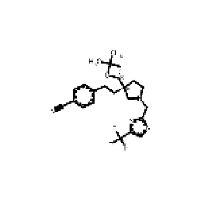 CC1(C)C[C@H]([C@]2(CCc3ccc(C#N)cc3)CCN(Cc3ncc(C(F)(F)F)s3)C2)O1